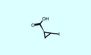 O=C(O)[C@@H]1CC1I